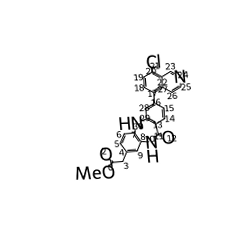 COC(=O)Cc1ccc2c(c1)NC(=O)c1ccc(-c3ccc(Cl)c4cnccc34)cc1N2